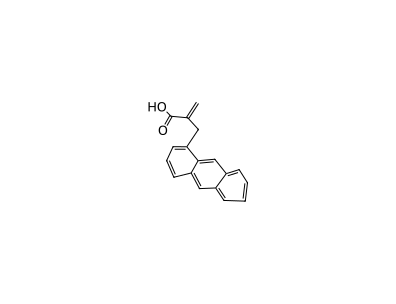 C=C(Cc1cccc2cc3ccccc3cc12)C(=O)O